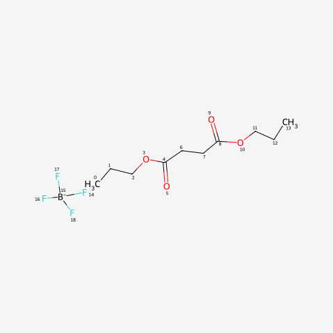 CCCOC(=O)CCC(=O)OCCC.F[B-](F)(F)F